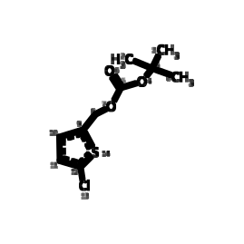 CC(C)(C)OC(=O)OCc1ccc(Cl)s1